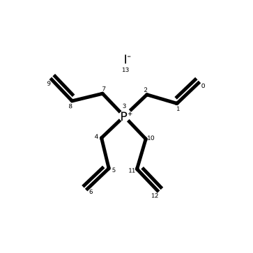 C=CC[P+](CC=C)(CC=C)CC=C.[I-]